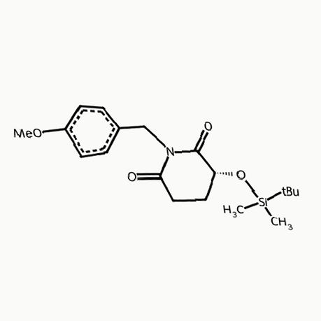 COc1ccc(CN2C(=O)CC[C@@H](O[Si](C)(C)C(C)(C)C)C2=O)cc1